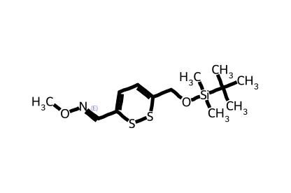 CO/N=C/C1=CC=C(CO[Si](C)(C)C(C)(C)C)SS1